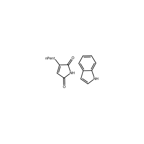 CCCCCC1=CC(=O)NC1=O.c1ccc2[nH]ccc2c1